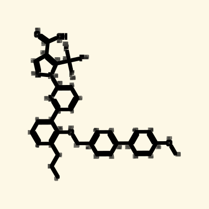 CCCc1cccc(-c2cccc(-n3ncc(C(=O)O)c3C(F)(F)F)n2)c1OCc1ccc(-c2ccc(OC)cc2)cc1